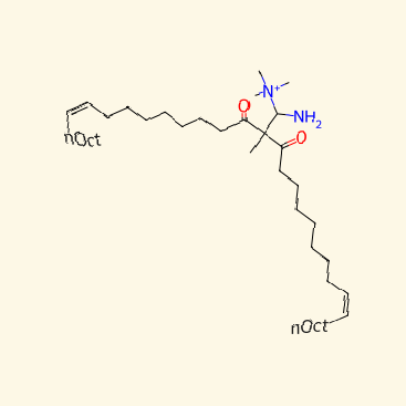 CCCCCCCC/C=C\CCCCCCCC(=O)C(C)(C(=O)CCCCCCC/C=C\CCCCCCCC)C(N)[N+](C)(C)C